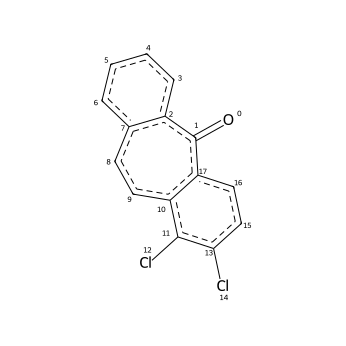 O=c1c2ccccc2ccc2c(Cl)c(Cl)ccc12